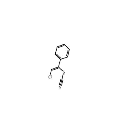 N#CSC(=CCl)c1ccccc1